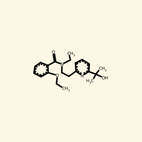 CCOc1ccccc1C(=O)N(CC)CCc1cccc(C(C)(C)O)n1